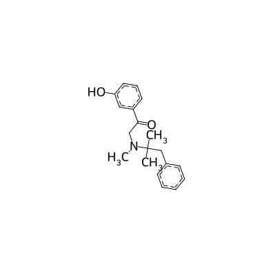 CN(CC(=O)c1cccc(O)c1)C(C)(C)Cc1ccccc1